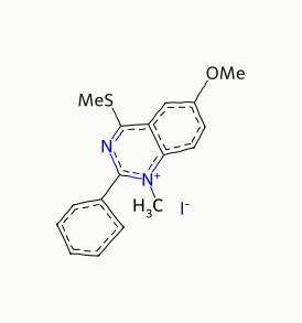 COc1ccc2c(c1)c(SC)nc(-c1ccccc1)[n+]2C.[I-]